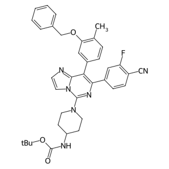 Cc1ccc(-c2c(-c3ccc(C#N)c(F)c3)nc(N3CCC(NC(=O)OC(C)(C)C)CC3)n3ccnc23)cc1OCc1ccccc1